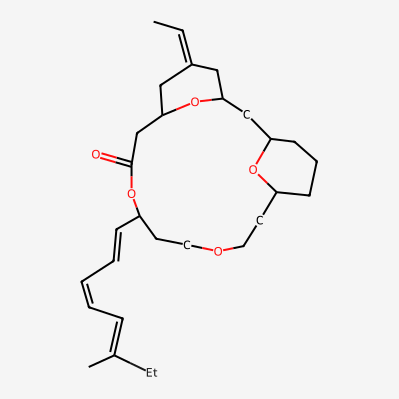 C/C=C1\CC2CC(=O)OC(/C=C/C=C\C=C(/C)CC)CCOCCC3CCCC(CC(C1)O2)O3